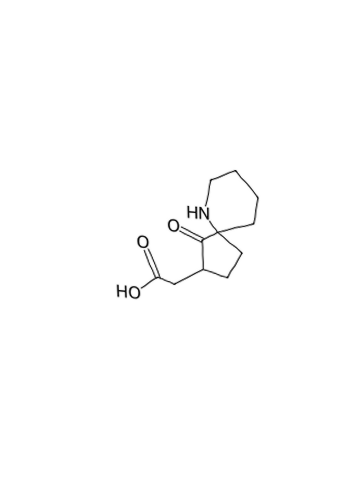 O=C(O)CC1CCC2(CCCCN2)C1=O